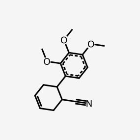 COc1ccc(C2CC=CCC2C#N)c(OC)c1OC